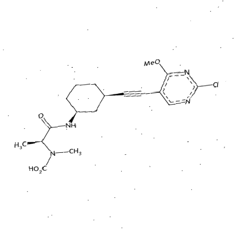 COc1nc(Cl)ncc1C#C[C@@H]1CCC[C@H](NC(=O)[C@H](C)N(C)C(=O)O)C1